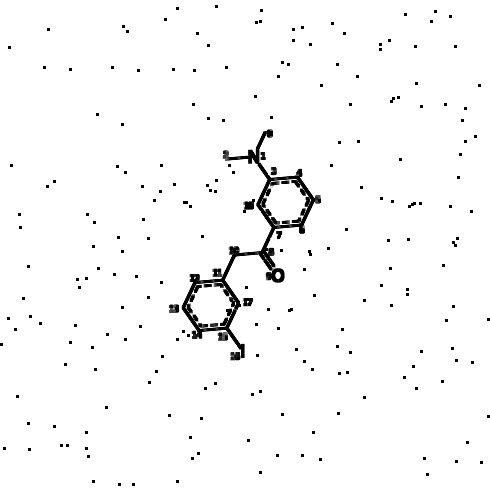 CN(C)c1cccc(C(=O)Cc2cccc(I)c2)c1